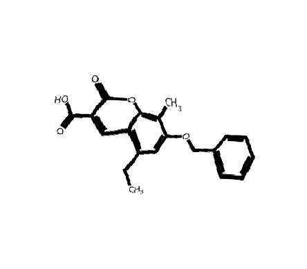 CCc1cc(OCc2ccccc2)c(C)c2oc(=O)c(C(=O)O)cc12